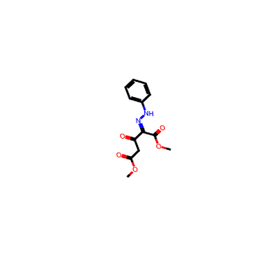 COC(=O)CC(=O)C(=NNc1ccccc1)C(=O)OC